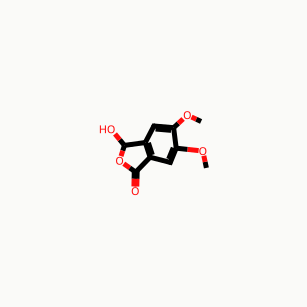 COc1cc2c(cc1OC)C(O)OC2=O